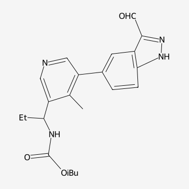 CCC(NC(=O)OCC(C)C)c1cncc(-c2ccc3[nH]nc(C=O)c3c2)c1C